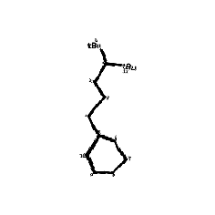 CC(C)(C)C(CCCC1CCCCC1)C(C)(C)C